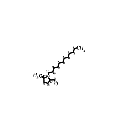 CCCCCCCCCCCCN1C(C)CCC1C=O